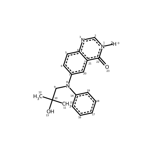 [2H]n1cnc2ccc(N(CC(C)(C)O)c3ccccc3)cc2c1=O